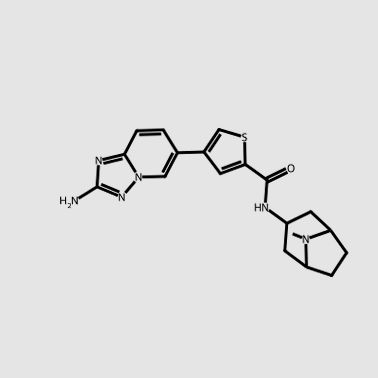 CN1C2CCC1CC(NC(=O)c1cc(-c3ccc4nc(N)nn4c3)cs1)C2